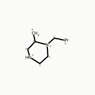 C[C](C)CN1CCNCC1C